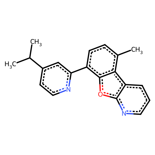 Cc1ccc(-c2cc(C(C)C)ccn2)c2oc3ncccc3c12